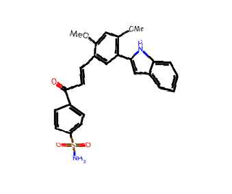 COc1cc(OC)c(-c2cc3ccccc3[nH]2)cc1C=CC(=O)c1ccc(S(N)(=O)=O)cc1